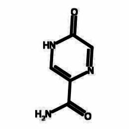 NC(=O)c1c[nH]c(=O)cn1